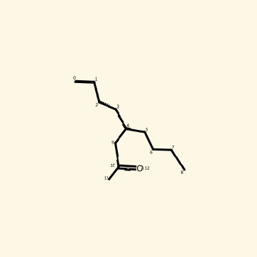 CCCCC(CCCC)CC(C)=O